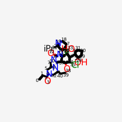 C=CC(=O)N1CC(C)N2c3nc(=O)n(-c4c(C)ccnc4C(C)C)c4c(F)c(-c5c(O)cccc5O)c(Cl)c(c34)OCCC2C1